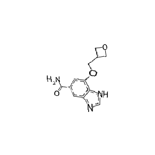 NC(=O)c1cc(OCC2COC2)c2[nH]cnc2c1